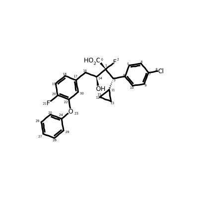 O=C(O)[C@@](F)([C@H](c1ccc(Cl)cc1)C1CC1)[C@@H](O)Cc1ccc(F)c(Oc2ccccc2)c1